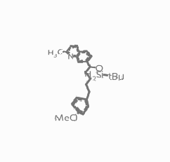 COc1ccc(CCCCC(O[SiH2]C(C)(C)C)c2ccc3ccc(C)nc3c2)cc1